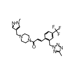 Cc1nnn(Cc2cc(C(F)(F)F)ccc2C=CC(=O)N2CCN(Cc3cnn(C)c3)CC2)n1